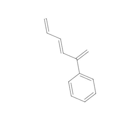 [CH]=CC=CC(=C)c1ccccc1